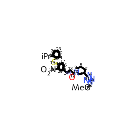 COCn1nnc(C2CCCN(C(=O)/C=C/c3ccc(Sc4ccccc4C(C)C)c([N+](=O)[O-])c3)C2)n1